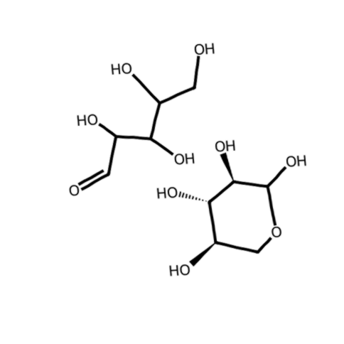 O=CC(O)C(O)C(O)CO.OC1OC[C@@H](O)[C@H](O)[C@H]1O